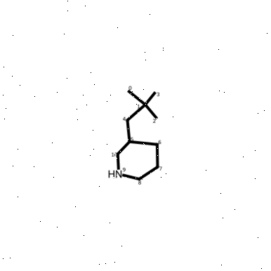 CC(C)(C)CC1CC[CH]NC1